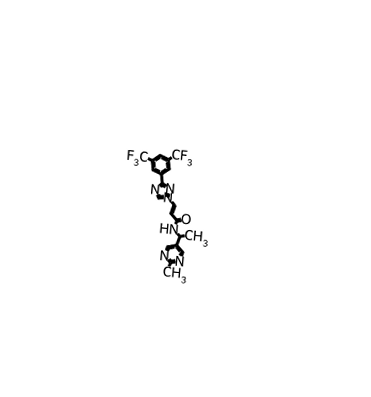 Cc1ncc(C(C)NC(=O)C=Cn2cnc(-c3cc(C(F)(F)F)cc(C(F)(F)F)c3)n2)cn1